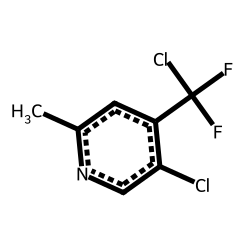 Cc1cc(C(F)(F)Cl)c(Cl)cn1